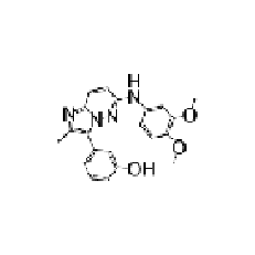 COc1ccc(Nc2ccc3nc(C)c(-c4cccc(O)c4)n3n2)cc1OC